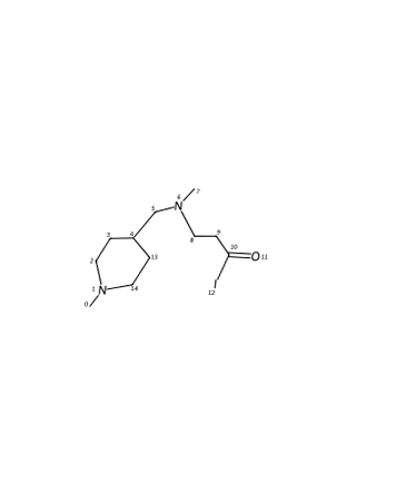 CN1CCC(CN(C)CCC(=O)I)CC1